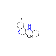 CC1C=c2c(NC3CCCCC3)c(C#N)cnc2=CC1